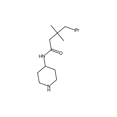 CC(C)CC(C)(C)CC(=O)NC1CCNCC1